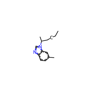 CCCCC(C)n1cnc2ccc(C)cc21